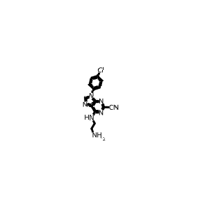 N#Cc1nc(NCCN)c2ncn(-c3ccc(Cl)cc3)c2n1